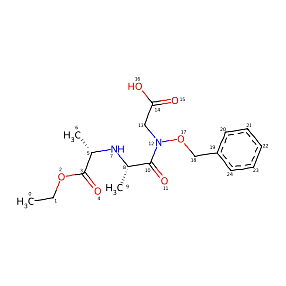 CCOC(=O)[C@H](C)N[C@@H](C)C(=O)N(CC(=O)O)OCc1ccccc1